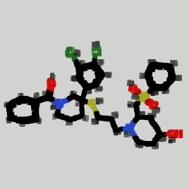 O=C(c1ccccc1)N1CCCC(SCCCN2CCC(O)CC2CS(=O)(=O)c2ccccc2)(c2ccc(Cl)c(Cl)c2)C1